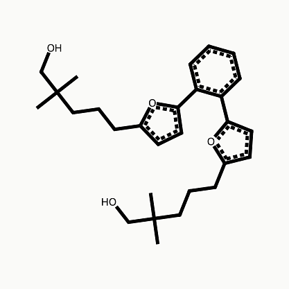 CC(C)(CO)CCCc1ccc(-c2ccccc2-c2ccc(CCCC(C)(C)CO)o2)o1